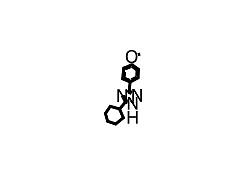 COc1ccc(-c2n[nH]c(C3CCCCC3)n2)cc1